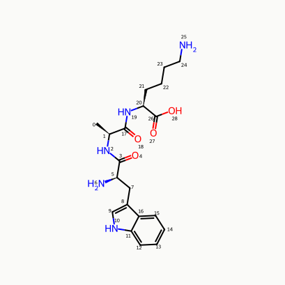 C[C@H](NC(=O)[C@H](N)Cc1c[nH]c2ccccc12)C(=O)N[C@@H](CCCCN)C(=O)O